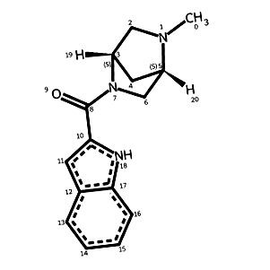 CN1C[C@@H]2C[C@H]1CN2C(=O)c1cc2ccccc2[nH]1